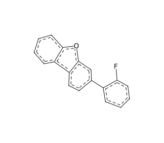 Fc1ccccc1-c1ccc2c(c1)oc1ccccc12